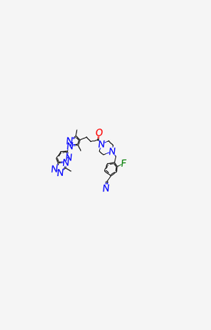 Cc1nn(-c2ccc3nnc(C)n3n2)c(C)c1CCC(=O)N1CCN(Cc2ccc(C#N)cc2F)CC1